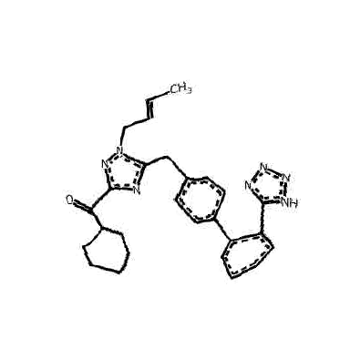 CC=CCn1nc(C(=O)C2CCCCC2)nc1Cc1ccc(-c2ccccc2-c2nnn[nH]2)cc1